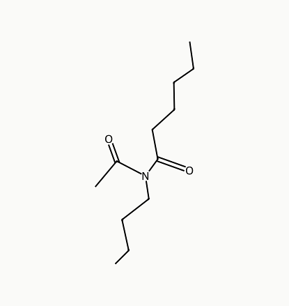 CCCCCC(=O)N(CCCC)C(C)=O